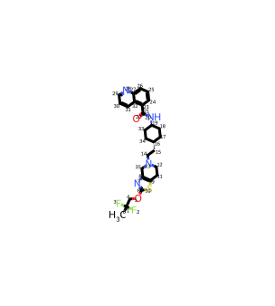 CC(F)(F)COc1nc2c(s1)CCN(CC[C@H]1CC[C@H](NC(=O)c3cccc4ncccc34)CC1)C2